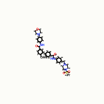 COc1ccc(C(=O)Nc2ccc(N3CCOCC3)cc2)cc1-c1ccc(C(=O)Nc2ccc(CN3CCN(S(=O)(=O)C(C)C)CC3)cc2)cc1